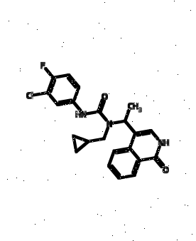 CC(c1c[nH]c(=O)c2ccccc12)N(CC1CC1)C(=O)Nc1ccc(F)c(Cl)c1